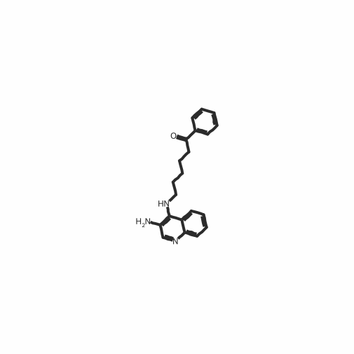 Nc1cnc2ccccc2c1NCCCCCC(=O)c1ccccc1